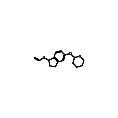 C=COC1CCc2cc(OC3CCCCO3)ccc21